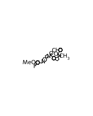 COc1ccc(CN2CCC3(CC2)CCN(C(=O)c2ccc4c(c2)C(N(C)C(=O)c2ccccc2Cl)CC4)C3)cc1F